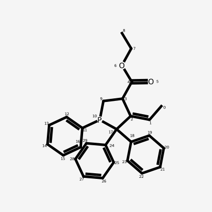 CC=C1C(C(=O)OCC)CP(c2ccccc2)C1(c1ccccc1)c1ccccc1